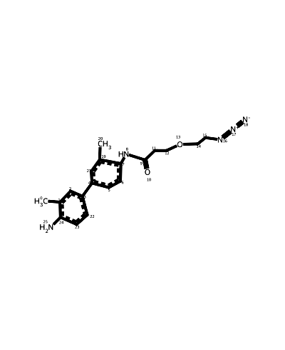 Cc1cc(-c2ccc(NC(=O)CCOCCN=[N+]=[N-])c(C)c2)ccc1N